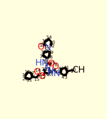 C#Cc1ccc(NC(=O)N2CC(OC(=O)Cc3ccccc3)CN2C(=O)Nc2ccc(-n3ccccc3=O)cc2)cc1